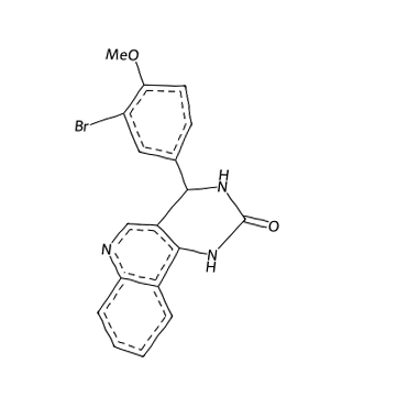 COc1ccc(C2NC(=O)Nc3c2cnc2ccccc32)cc1Br